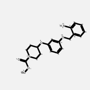 CC(C)(C)OC(=O)N1CCC(Oc2cccc(OCc3ccccc3N)c2)CC1